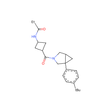 CCC(=O)NC1CC(C(=O)N2CC3CC3(c3ccc(C(C)(C)C)cc3)C2)C1